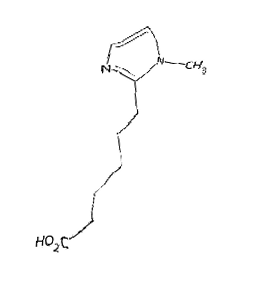 Cn1ccnc1CCCCCC(=O)O